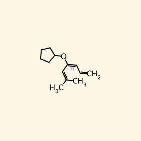 C=C/C=C(\C=C(C)C)OC1CCCC1